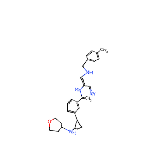 C=C(N/C(C=N)=C/NCc1ccc(C)cc1)c1cccc(C2CC2NC2CCOCC2)c1